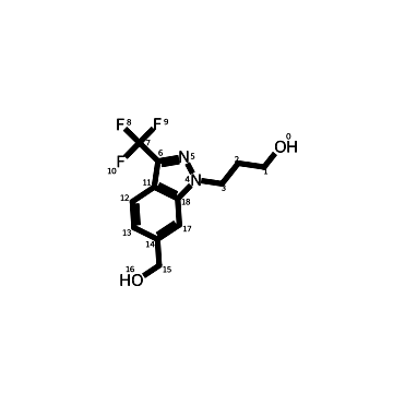 OCCCn1nc(C(F)(F)F)c2ccc(CO)cc21